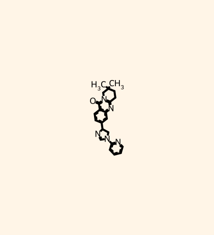 CC1(C)CCc2nc3cc(C4CN(c5ccccn5)C=N4)ccc3c(=O)n2C1